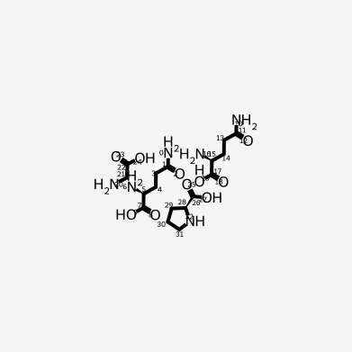 NC(=O)CC[C@H](N)C(=O)O.NC(=O)CC[C@H](N)C(=O)O.NCC(=O)O.O=C(O)[C@@H]1CCCN1